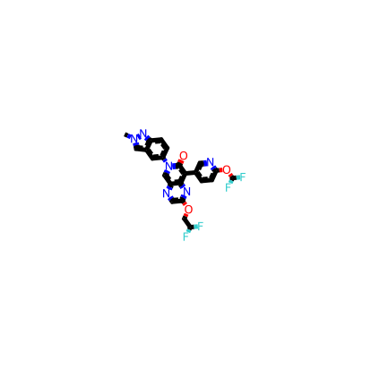 Cn1cc2cc(-n3cc4ncc(OCC(F)F)nc4c(-c4ccc(OC(F)F)nc4)c3=O)ccc2n1